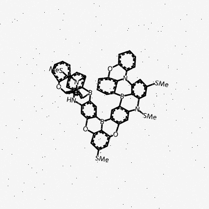 CSc1cc2c3c(c1)Oc1cc4c(cc1B3c1cc3c(cc1O2)Nc1cc(SC)cc2c1B3c1cccc3c1N2c1ccccc1O3)B1c2cccc3c2N(c2ccccc2O3)c2cc(SC)cc(c21)N4SC